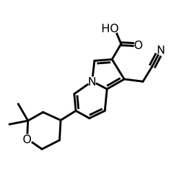 CC1(C)CC(c2ccc3c(CC#N)c(C(=O)O)cn3c2)CCO1